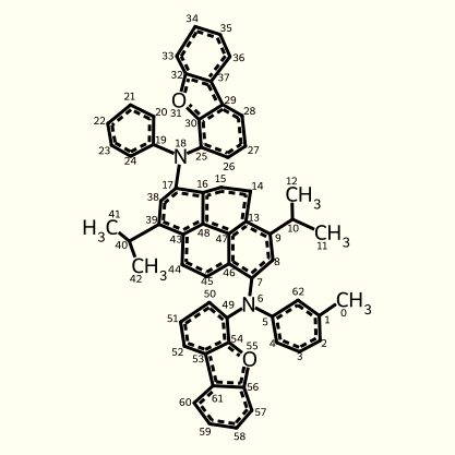 Cc1cccc(N(c2cc(C(C)C)c3ccc4c(N(c5ccccc5)c5cccc6c5oc5ccccc56)cc(C(C)C)c5ccc2c3c54)c2cccc3c2oc2ccccc23)c1